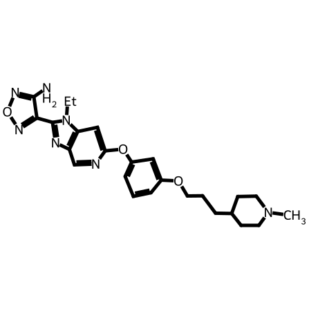 CCn1c(-c2nonc2N)nc2cnc(Oc3cccc(OCCCC4CCN(C)CC4)c3)cc21